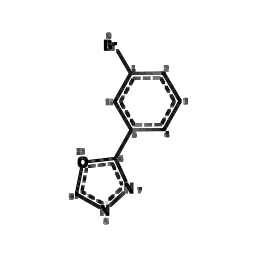 Brc1cccc(-c2nn[c]o2)c1